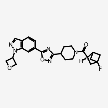 O=C([C@H]1CC2(F)CC1C2)N1CCC(c2noc(-c3ccc4cnn(C5COC5)c4c3)n2)CC1